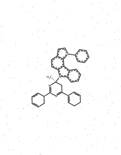 C[C@]1(n2c3ccccc3c3c4c(ccc32)ccn4-c2ccccc2)CC(C2=CCCC=C2)=NC(C2C=CC=CC2)=N1